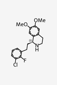 COc1cc2c(cc1OC)[C@H](CCc1cccc(Cl)c1F)NCC2